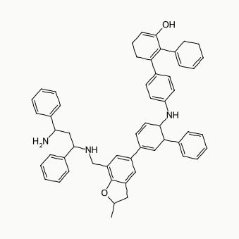 CC1Cc2cc(C3=CC(c4ccccc4)C(Nc4ccc(C5=C(C6=CC=CCC6)C(O)=CCC5)cc4)C=C3)cc(CNC(CC(N)c3ccccc3)c3ccccc3)c2O1